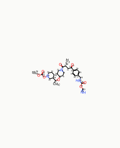 CC(=O)OC(OC1CCN(C(=O)[C@H](C)CC(=O)c2ccc(CNC(=O)OC=N)cc2)CC1)C1CCCN(OC(=O)OC(C)(C)C)C1